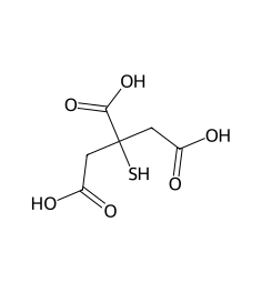 O=C(O)CC(S)(CC(=O)O)C(=O)O